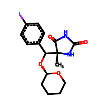 C[C@]1(C(O[C@@H]2CCCCO2)c2ccc(I)cc2)NC(=O)NC1=O